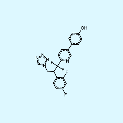 Oc1ccc(-c2ccc(C(F)(F)C(Cn3cnnn3)c3ccc(F)cc3F)nc2)cc1